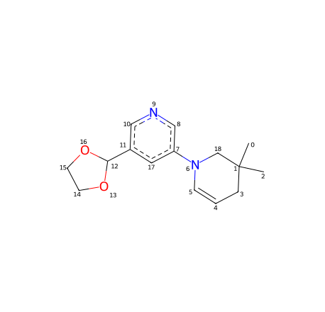 CC1(C)CC=CN(c2cncc(C3OCCO3)c2)C1